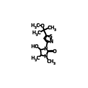 COC(C)(C)c1cc(N2C(=O)N(C)C(C)C2O)ns1